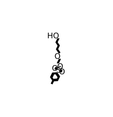 Cc1ccc(S(=O)(=O)OCCOCCCCCO)cc1